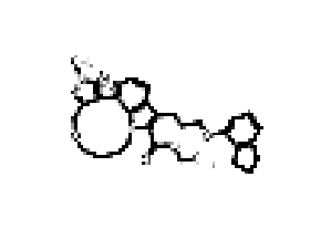 CCOC(=O)c1c(CCCOc2cccc3c2CCC3)c2ccc(F)c3c2n1CCCCOCc1nn(C)c(C)c1-3